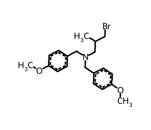 COc1ccc(CN(Cc2ccc(OC)cc2)CC(C)CBr)cc1